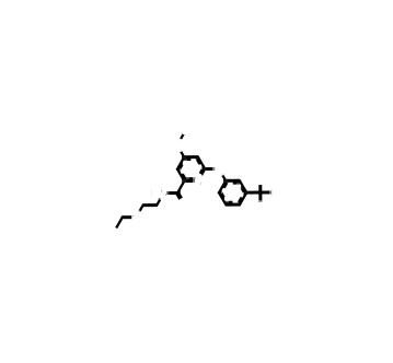 CCSCCNC(=O)c1cc(OC)cc(Oc2cccc(C(F)(F)F)c2)n1